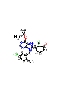 CC1(Oc2ncnc3c2nc(-c2cccc(O)c2Cl)n3Cc2cc(Cl)ccc2C#N)CC1